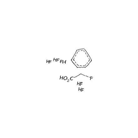 F.F.F.F.F.O=C(O)CF.c1ccccc1